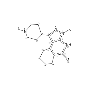 CN1CCC(c2nn(C)c3[nH]c(=O)c4c(c23)CCCC4)CC1